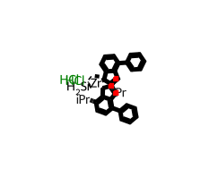 CC1=Cc2c(-c3ccccc3)ccc(C(C)C)c2[CH]1[Zr]([CH3])([CH3])(=[SiH2])[CH]1C(C(C)C)=Cc2c(-c3ccccc3)cccc21.Cl.Cl